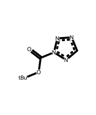 CC(C)(C)OC(=O)n1ncnn1